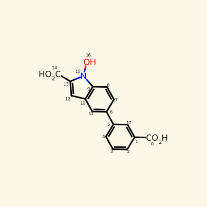 O=C(O)c1cccc(-c2ccc3c(c2)cc(C(=O)O)n3O)c1